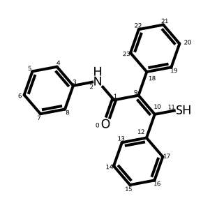 O=C(Nc1ccccc1)/C(=C(/S)c1ccccc1)c1ccccc1